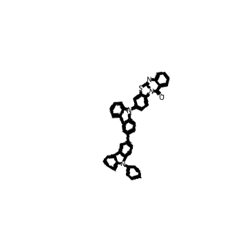 O=c1c2ccccc2nc2sc3cc(-n4c5ccccc5c5cc(-c6ccc7c(c6)c6ccccc6n7-c6ccccc6)ccc54)ccc3n12